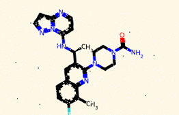 Cc1c(F)ccc2cc([C@H](C)Nc3ccnc4ccnn34)c(N3CCN(C(N)=O)CC3)nc12